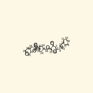 O=c1cc(CN2Cc3ccccc3C2)occ1OCC1CCN(S(=O)(=O)CC2CCOCC2)CC1